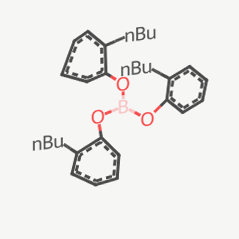 CCCCc1ccccc1OB(Oc1ccccc1CCCC)Oc1ccccc1CCCC